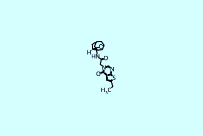 CCc1cc2c(=O)n(CC(=O)NC3CC4CC5CC(C4)[C@H]3C5)cnc2s1